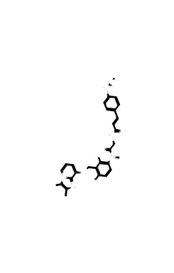 Cc1nc2c(OCc3c(Cl)ccc(N(C)C(=O)CNC(=O)/C=C/c4ccc(NS(C)(=O)=O)cc4)c3Cl)cccn2c1Br.Cl